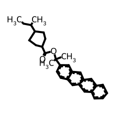 CCC(C)C1CCC(C(=O)OC(C)(C)c2ccc3cc4cc5ccccc5cc4cc3c2)CC1